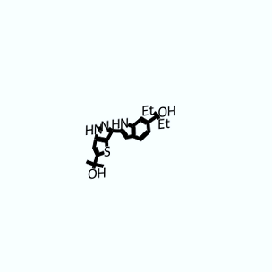 CCC(O)(CC)c1ccc2cc(-c3n[nH]c4cc(C(C)(C)O)sc34)[nH]c2c1